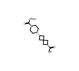 CCCCCC(=O)N1CCN([C@H]2CC3(C[C@H](C(=O)CCC)C3)C2)CC1